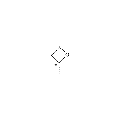 C[C@@H]1CCO1